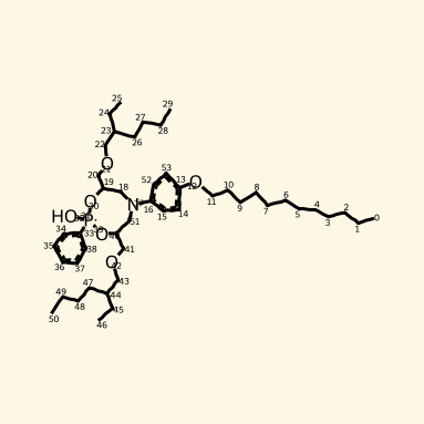 CCCCCCCCCCCCOc1ccc(N2CC(COCC(CC)CCCC)O[P](O)(c3ccccc3)OC(COCC(CC)CCCC)C2)cc1